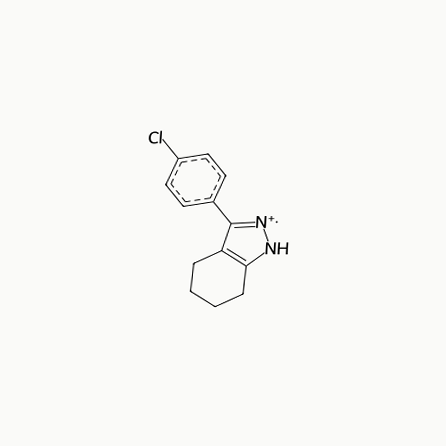 Clc1ccc(C2=[N+]NC3=C2CCCC3)cc1